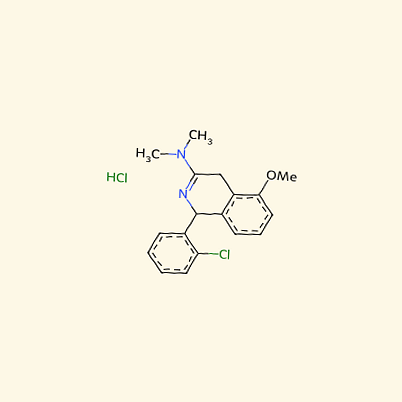 COc1cccc2c1CC(N(C)C)=NC2c1ccccc1Cl.Cl